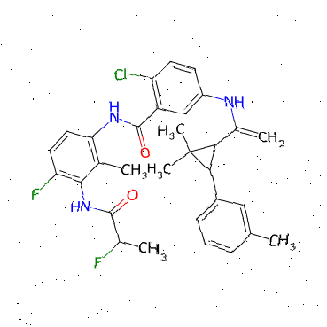 C=C(Nc1ccc(Cl)c(C(=O)Nc2ccc(F)c(NC(=O)C(C)F)c2C)c1)C1C(c2cccc(C)c2)C1(C)C